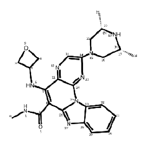 CNC(=O)c1c(NC2COC2)c2ncc(N3C[C@@H](C)N[C@@H](C)C3)nc2n2c1nc1ccccc12